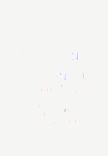 O[C@@H]1[C@H](O)[C@H](O)CO[C@H]1n1c(Br)nc2cc(F)c(Cl)cc21